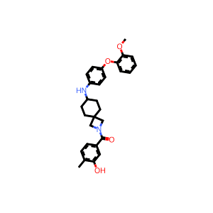 COc1ccccc1Oc1ccc(NC2CCC3(CC2)CN(C(=O)c2ccc(C)c(O)c2)C3)cc1